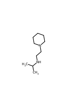 CC(C)NCCN1CCCCC1